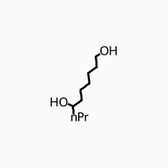 CCCC(O)CCCCCCO